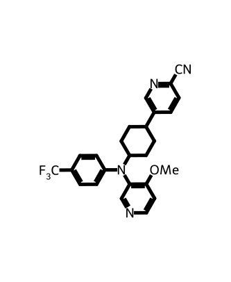 COc1ccncc1N(c1ccc(C(F)(F)F)cc1)C1CCC(c2ccc(C#N)nc2)CC1